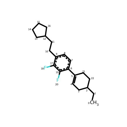 CCC1CC=C(c2ccc(CCC3CCCC3)c(F)c2F)CC1